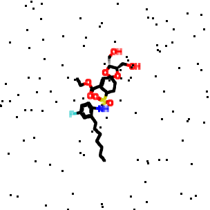 CCCCCCCc1cc(F)ccc1NS(=O)(=O)C1CCC2(C=C1C(=O)OCC)O[C@H](CO)[C@@H](CO)O2